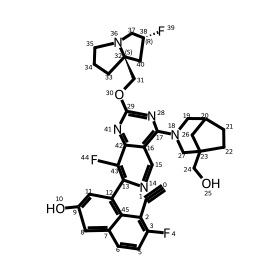 C#Cc1c(F)ccc2cc(O)cc(-c3ncc4c(N5CC6CCC(CO)(C6)C5)nc(OC[C@@]56CCCN5C[C@H](F)C6)nc4c3F)c12